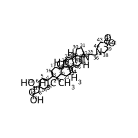 CC1(C)C(C2=CCC(CCO)(C(=O)O)CC2)=CC[C@@]2(C)C1CC[C@]1(C)C2CC[C@@H]2[C@H]3CCC[C@]3(NCCN3CCS(=O)(=O)CC3)CC[C@]21C